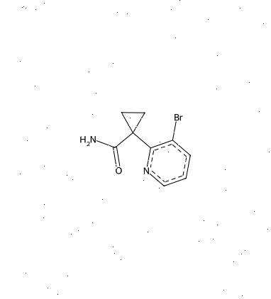 NC(=O)C1(c2ncccc2Br)CC1